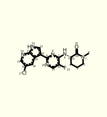 CN1CCC[C@H](Nc2nc(-c3c[nH]c4ncc(Cl)cc34)ncc2F)C1=O